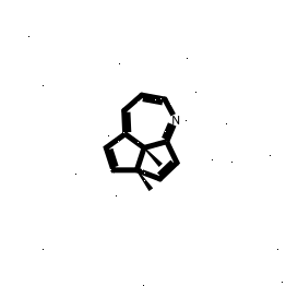 C[C@]12C=CC3=CC=CN=C(C=C1)[C@@]32C